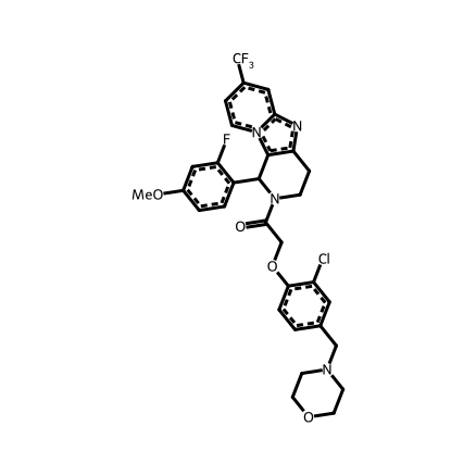 COc1ccc(C2c3c(nc4cc(C(F)(F)F)ccn34)CCN2C(=O)COc2ccc(CN3CCOCC3)cc2Cl)c(F)c1